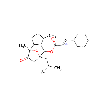 CC(C)CC12CC(=O)C(C)(O1)C1CCC(C)C1C2OC(=O)/C=C/C1CCCCC1